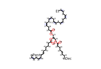 CC/C=C\C/C=C\C/C=C\C/C=C\C/C=C\C/C=C\CCC(=O)OC[C@@H](COC(=O)CCCCCCCCCCCCCCCC)OC(=O)CCCCCCC/C=C\C/C=C\CCCCC